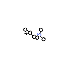 CC1(C)c2ccccc2-c2ccc(-c3ccc4ccc5c(-c6ccccc6)nc(-c6ccccc6)nc5c4c3)cc21